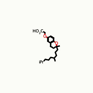 CC(C)CCCC(C)CCCC1(C)CCc2cc(OCC(=O)O)ccc2O1